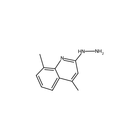 Cc1cc(NN)nc2c(C)cccc12